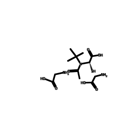 CC(=O)N([C@@H](S)C(=O)O)C(C)(C)C.NCC(=O)O.NCC(=O)O